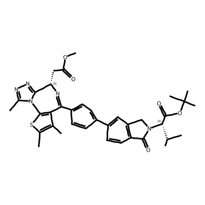 COC(=O)C[C@@H]1N=C(c2ccc(-c3ccc4c(c3)CN([C@H](C(=O)OC(C)(C)C)C(C)C)C4=O)cc2)c2c(sc(C)c2C)-n2c(C)nnc21